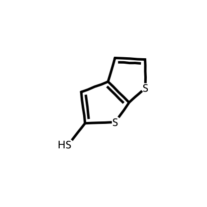 Sc1cc2ccsc2s1